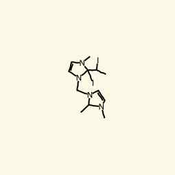 CC1N(C)C=CN1CN1C=CN(C)C1(I)C(C)I